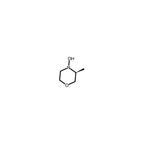 C[C@H]1COCCN1O